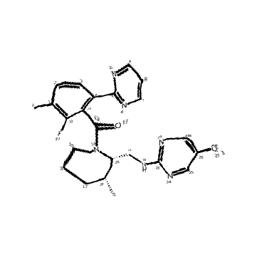 Cc1ccc(-c2ncccn2)c(C(=O)N2CCC[C@@H](C)[C@H]2CNc2ncc(C(F)(F)F)cn2)c1F